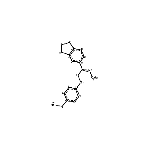 CO/N=C(\COc1ccc(CO)cc1)c1ccc2c(c1)CCC2